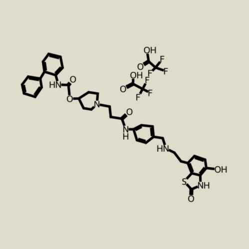 O=C(CCN1CCC(OC(=O)Nc2ccccc2-c2ccccc2)CC1)Nc1ccc(CNCCc2ccc(O)c3[nH]c(=O)sc23)cc1.O=C(O)C(F)(F)F.O=C(O)C(F)(F)F